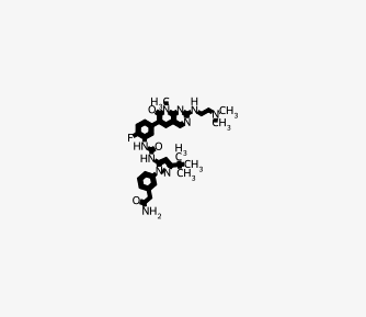 CN(C)CCNc1ncc2cc(-c3ccc(F)c(NC(=O)Nc4cc(C(C)(C)C)nn4-c4cccc(CC(N)=O)c4)c3)c(=O)n(C)c2n1